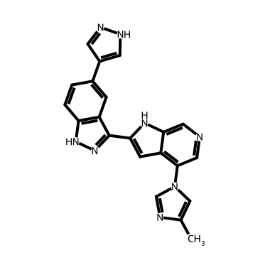 Cc1cn(-c2cncc3[nH]c(-c4n[nH]c5ccc(-c6cn[nH]c6)cc45)cc23)cn1